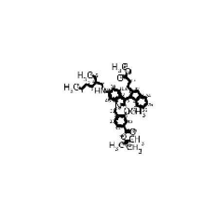 CCCCC(CC)CNc1ccc2c(C3C(CCC(=O)OC)=Cc4ccccc43)cn(Cc3ccc(C(=O)OC(C)(C)C)cc3OC)c2c1